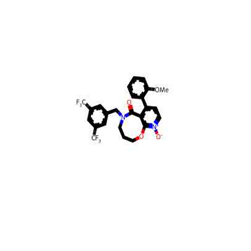 COc1ccccc1-c1cc[n+]([O-])c2c1C(=O)N(Cc1cc(C(F)(F)F)cc(C(F)(F)F)c1)CCCO2